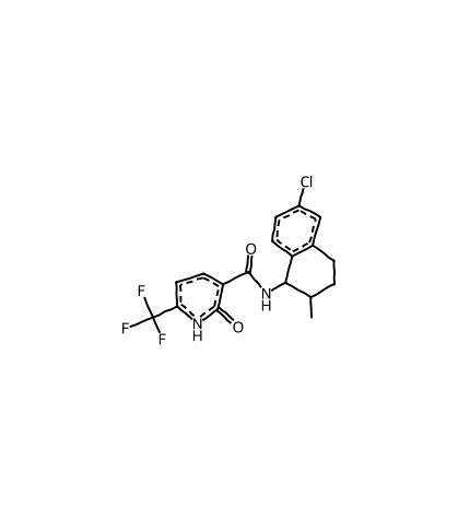 CC1CCc2cc(Cl)ccc2C1NC(=O)c1ccc(C(F)(F)F)[nH]c1=O